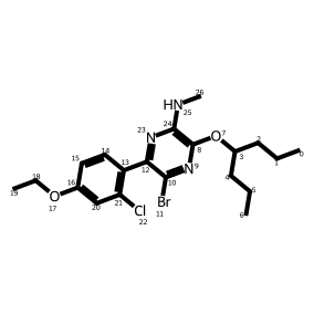 CCCC(CCC)Oc1nc(Br)c(-c2ccc(OCC)cc2Cl)nc1NC